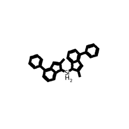 CC1=Cc2c(-c3ccccc3)cccc2C1[SiH2]C1C(C)=Cc2c(-c3ccccc3)cccc21